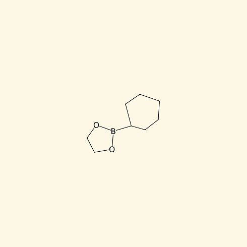 C1CCC(B2OCCO2)CC1